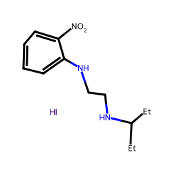 CCC(CC)NCCNc1ccccc1[N+](=O)[O-].I